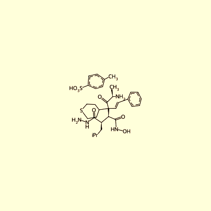 CC(C)C[C@@H](C(=O)NN)[C@H](C(=O)NO)C(/C=C/c1ccccc1)(C(=O)[C@@H](C)N)C1CCSCC1.Cc1ccc(S(=O)(=O)O)cc1